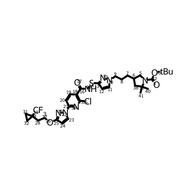 CC(C)(C)OC(=O)N1CC(CCCn2ccc(SNC(=O)c3ccc(-n4ccc(OCCC5(C(F)(F)F)CC5)n4)nc3Cl)n2)CC1(C)C